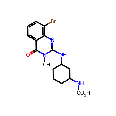 Cn1c(NC2CCCC(NC(=O)O)C2)nc2c(Br)cccc2c1=O